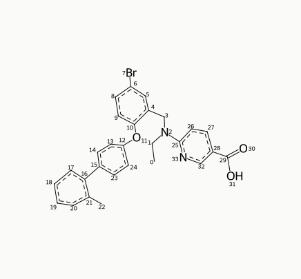 CCN(Cc1cc(Br)ccc1Oc1ccc(-c2ccccc2C)cc1)c1ccc(C(=O)O)cn1